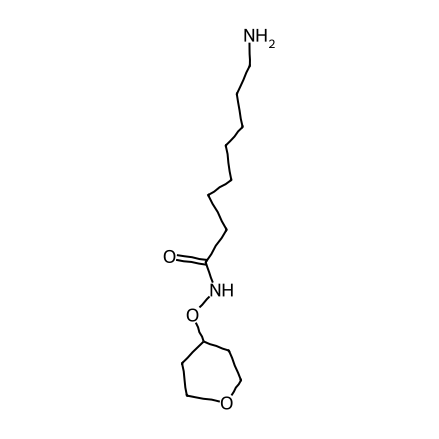 NCCCCCCCC(=O)NOC1CCOCC1